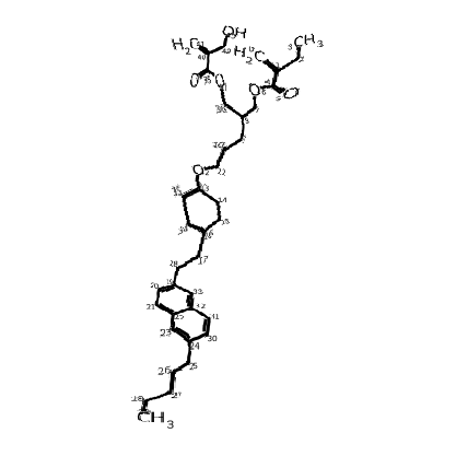 C=C(CC)C(=O)OCC(CCCOC1CCC(CCc2ccc3cc(CCCCC)ccc3c2)CC1)COC(=O)C(=C)CO